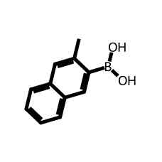 Cc1cc2ccccc2cc1B(O)O